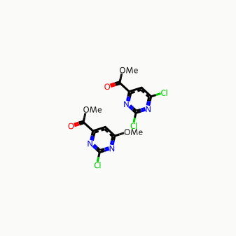 COC(=O)c1cc(Cl)nc(Cl)n1.COC(=O)c1cc(OC)nc(Cl)n1